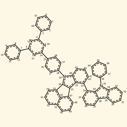 c1ccc(-c2nc(-c3ccccc3)nc(-c3ccc(-n4c5c(c6c(-c7cccc8c9ccccc9n(-c9ccccc9)c78)cccc64)-c4cccc6cccc-5c46)cc3)n2)cc1